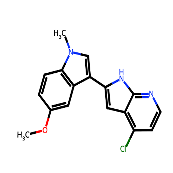 COc1ccc2c(c1)c(-c1cc3c(Cl)ccnc3[nH]1)cn2C